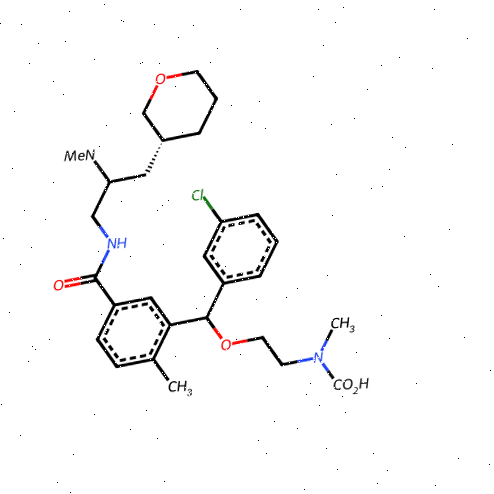 CNC(CNC(=O)c1ccc(C)c(C(OCCN(C)C(=O)O)c2cccc(Cl)c2)c1)C[C@H]1CCCOC1